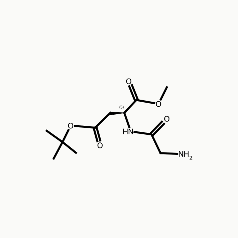 COC(=O)[C@H](CC(=O)OC(C)(C)C)NC(=O)CN